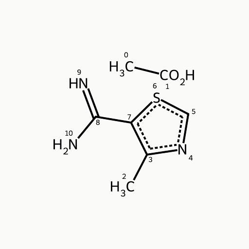 CC(=O)O.Cc1ncsc1C(=N)N